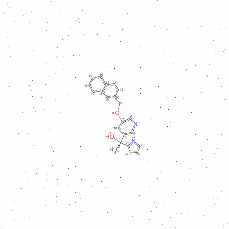 CC(O)(c1cncc(OCc2ccc3ccccc3c2)c1)c1nccs1